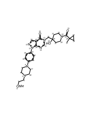 COCCN1CCN(c2ccc(-n3ncc4c(=O)n(CC5(O)CCN(C(=O)C6(C)CC6)CC5)cnc43)cc2)CC1